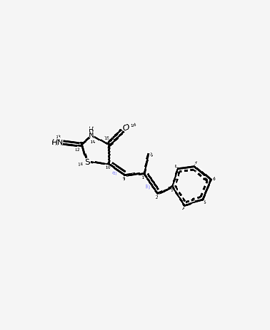 CC(=C\c1ccccc1)/C=C1/SC(=N)NC1=O